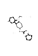 CN(c1cnc2ccccc2n1)C1CCc2c(c3cc(F)ccc3n2CC(=O)O)C1